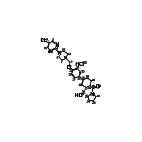 CCc1cnc(N2CCC(COc3ccc(C4=CCC(C(=O)N5CCC[C@@H]5CO)CC4)cc3)CC2)nc1.Cl